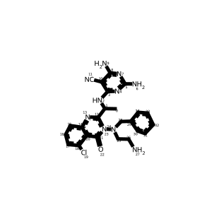 CC(Nc1nc(N)nc(N)c1C#N)c1nc2cccc(Cl)c2c(=O)n1N(CCN)Cc1ccccc1